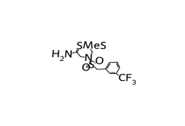 CSCN(CC(N)=S)S(=O)(=O)Cc1cccc(C(F)(F)F)c1